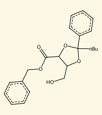 CCCCC1(c2ccccc2)OC(CO)C(C(=O)OCc2ccccc2)O1